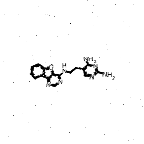 Nc1ncc(CCNc2ncnc3c2oc2ccccc23)c(N)n1